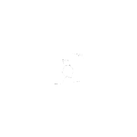 COc1cc2c(cc1OC)C(CN)=C2